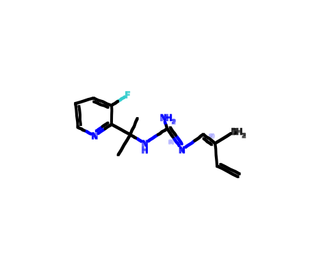 B/C(C=C)=C/N=C(\N)NC(C)(C)c1ncccc1F